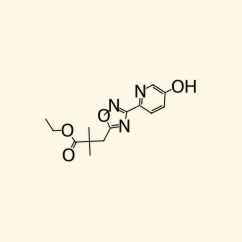 CCOC(=O)C(C)(C)Cc1nc(-c2ccc(O)cn2)no1